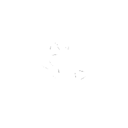 Nc1cc(-c2nc([C@H]3CCCCN3C(=O)COc3ccccc3)no2)ccn1